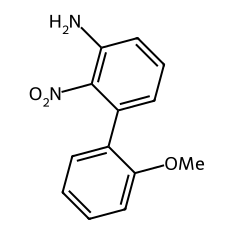 COc1ccccc1-c1cccc(N)c1[N+](=O)[O-]